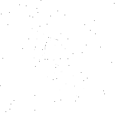 CC1(C)COC2(CC[C@H]3[C@@H]4CC[C@H]5CC=CC[C@]5(C)[C@H]4CC[C@@]32C)OC1